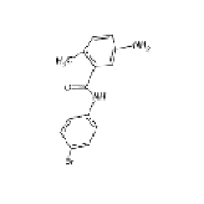 Cc1ccc(N)cc1C(=O)Nc1ccc(Br)cc1